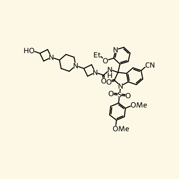 CCOc1ncccc1C1(NC(=O)N2CC(N3CCC(N4CC(O)C4)CC3)C2)C(=O)N(S(=O)(=O)c2ccc(OC)cc2OC)c2ccc(C#N)cc21